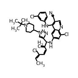 C=C(/C=C\C(Cl)=C/C)[C@H](Nc1cc(Cl)c2ncc(C#N)c(Nc3cccc(Cl)c3)c2c1)c1cn(C2CCN(C(C)(C)C)CC2)nn1